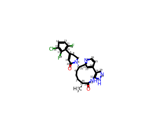 C[C@@H]1CCC[C@H](N2CCC(c3c(F)ccc(Cl)c3F)=CC2=O)c2cc(ccn2)-c2cn[nH]c2NC1=O